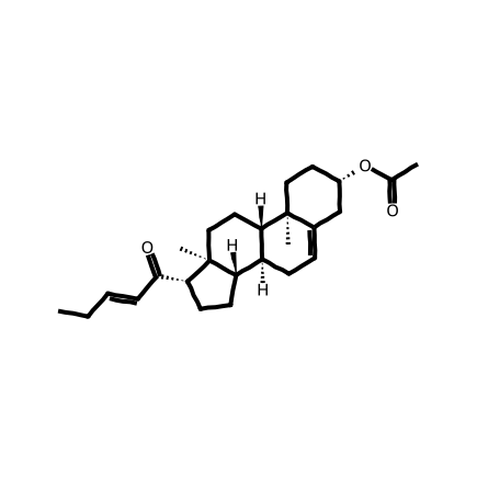 CC/C=C/C(=O)[C@H]1CC[C@H]2[C@@H]3CC=C4C[C@@H](OC(C)=O)CC[C@]4(C)[C@H]3CC[C@]12C